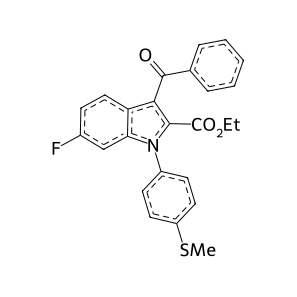 CCOC(=O)c1c(C(=O)c2ccccc2)c2ccc(F)cc2n1-c1ccc(SC)cc1